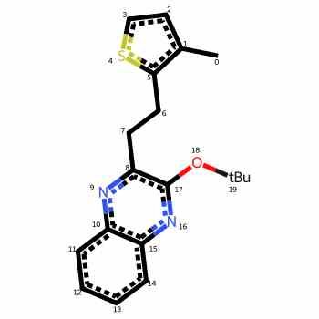 Cc1ccsc1CCc1nc2ccccc2nc1OC(C)(C)C